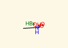 Br.CCCCCCCCCCCCCCNc1ccc(COC(C)=O)cc1.CCO